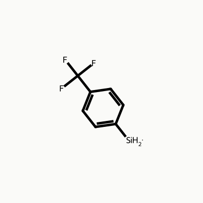 FC(F)(F)c1ccc([SiH2])cc1